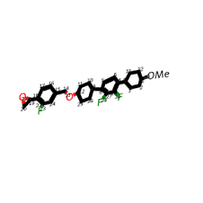 COC1CCC(c2ccc(C3CCC(OCc4ccc(C5CO5)c(F)c4)CC3)c(F)c2F)CC1